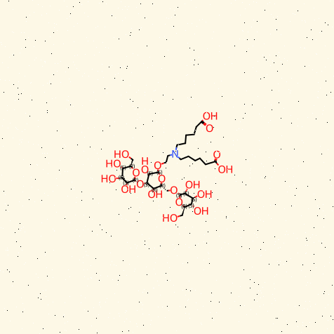 O=C(O)CCCCCN(CCCCCC(=O)O)CCO[C@H]1O[C@H](CO[C@H]2O[C@H](CO)[C@@H](O)[C@H](O)[C@@H]2O)[C@@H](O)[C@H](O[C@H]2O[C@H](CO)[C@@H](O)[C@H](O)[C@@H]2O)[C@@H]1O